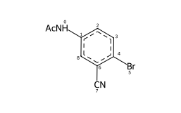 CC(=O)Nc1ccc(Br)c(C#N)c1